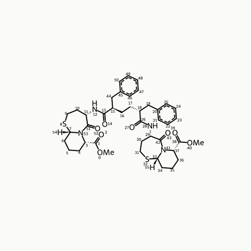 COC(=O)[C@@H]1CCC[C@@H]2SCC[C@H](NC(=O)[C@H](CC[C@H](Cc3ccccc3)C(=O)N[C@H]3CCS[C@H]4CCC[C@@H](C(=O)OC)N4C3=O)Cc3ccccc3)C(=O)N21